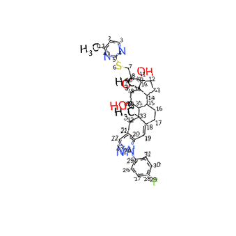 Cc1ccnc(SCC(=O)[C@@]2(O)CCC3C4CCC5=Cc6c(cnn6-c6ccc(F)cc6)CC5(C)C4[C@@H](O)CC32C)n1